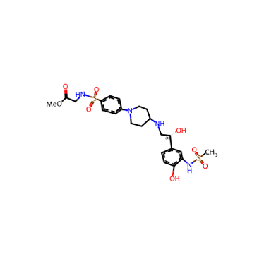 COC(=O)CNS(=O)(=O)c1ccc(N2CCC(NC[C@H](O)c3ccc(O)c(NS(C)(=O)=O)c3)CC2)cc1